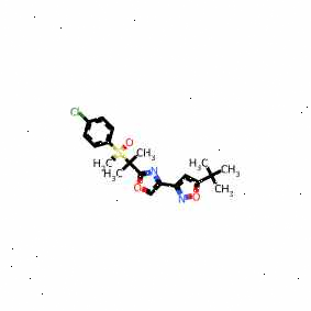 C=S(=O)(c1ccc(Cl)cc1)C(C)(C)c1nc(-c2cc(C(C)(C)C)on2)co1